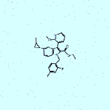 CCOC(=O)c1c(-c2cccnc2OC)c2cc(C3CC3C)ccc2n1Cc1ccc(F)cc1F